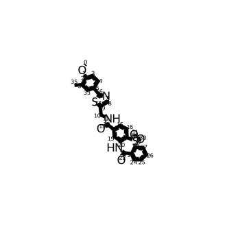 COc1ccc(-c2ncc(CNC(=O)c3ccc4c(c3)NC(=O)c3ccccc3S4(=O)=O)s2)cc1C